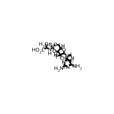 CC(N[P@@]1(O)OC[C@H]2O[C@@H](n3cnc4c(N)nc(N)nc43)[C@](C)(F)[C@@H]2O1)C(=O)O